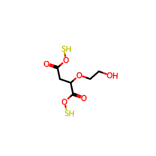 O=C(CC(OCCO)C(=O)OS)OS